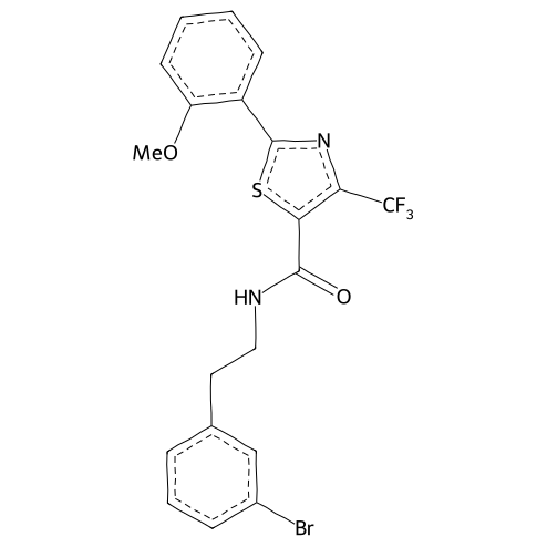 COc1ccccc1-c1nc(C(F)(F)F)c(C(=O)NCCc2cccc(Br)c2)s1